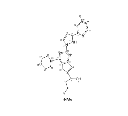 CNCCCC(O)C1=Cc2nc(N3C=CC(c4cccc(C)c4)N3)cc(N3CCOCC3)c2C1